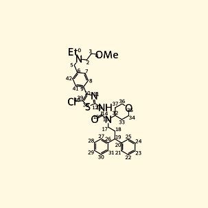 CCN(CCOC)Cc1ccc(-c2nc(NC(=O)N(CCC(c3ccccc3)c3ccccc3)C3CCOCC3)sc2Cl)cc1